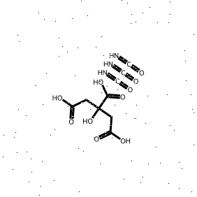 N=C=O.N=C=O.N=C=O.O=C(O)CC(O)(CC(=O)O)C(=O)O